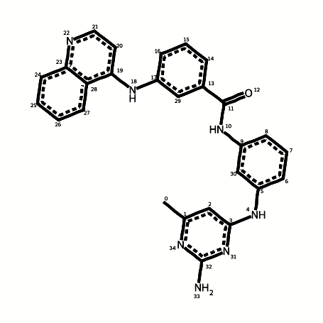 Cc1cc(Nc2cccc(NC(=O)c3cccc(Nc4ccnc5ccccc45)c3)c2)nc(N)n1